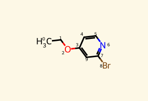 CCOc1ccnc(Br)c1